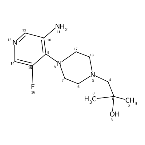 CC(C)(O)CN1CCN(c2c(N)cncc2F)CC1